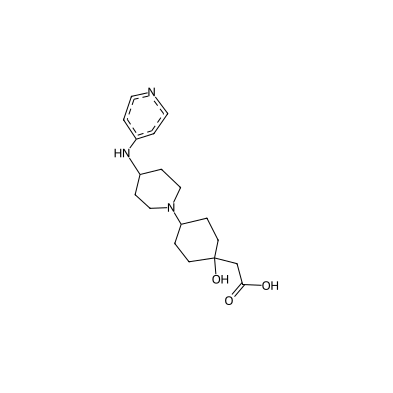 O=C(O)CC1(O)CCC(N2CCC(Nc3ccncc3)CC2)CC1